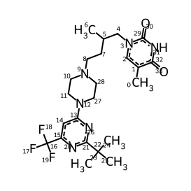 Cc1cn(CC(C)CCN2CCN(c3cc(C(F)(F)F)nc(C(C)(C)C)n3)CC2)c(=O)[nH]c1=O